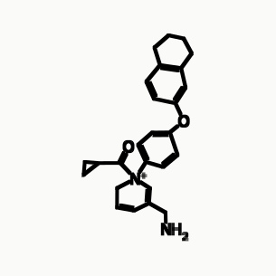 NCC1=C[N+](C(=O)C2CC2)(c2ccc(Oc3ccc4c(c3)CCCC4)cc2)CC=C1